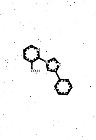 O=C(O)c1cccnc1-n1cnc(-c2ccccc2)c1